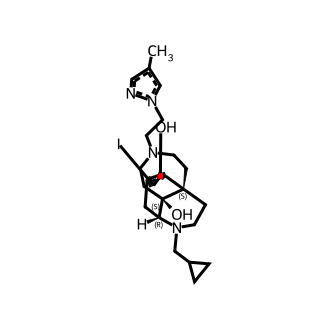 Cc1cnn(CCN2CC[C@]34CCN(CC5CC5)[C@H](Cc5cc(I)c(O)cc53)[C@]4(O)CC2)c1